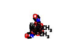 CCO[Si](C)(CN1CCOCC1)O[Si](C)(C)O[Si](C)(C)O[Si](C)(CN1CCOCC1)OCC